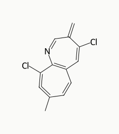 C=C1C=NC2=C(C=CC(C)=C=C2Cl)C=C1Cl